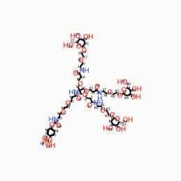 O=C(CCOCC(COCCC(=O)NCCOCCO[C@H]1C[C@@H](O)[C@@H](O)[C@@H](CO)O1)(COCCC(=O)NCCOCCO[C@H]1C[C@@H](O)[C@@H](O)[C@@H](CO)O1)NC(=O)CCOCCOCCNC(=O)Oc1ccc(OP(=O)(O)I)cc1)NCCOCCO[C@H]1C[C@@H](O)[C@@H](O)[C@@H](CO)O1